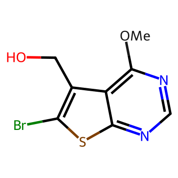 COc1ncnc2sc(Br)c(CO)c12